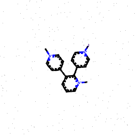 C[n+]1ccc(-c2ccc[n+](C)c2-c2cc[n+](I)cc2)cc1